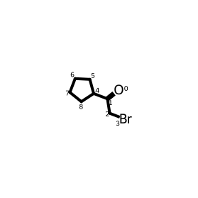 O=C(CBr)C1CCCC1